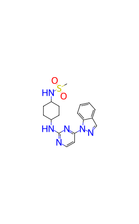 CS(=O)(=O)NC1CCC(Nc2nccc(-n3ncc4ccccc43)n2)CC1